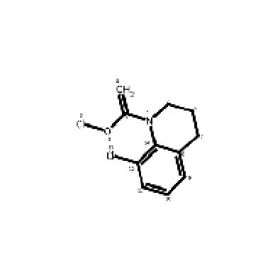 C=C(OCl)N1CCCc2cccc(Cl)c21